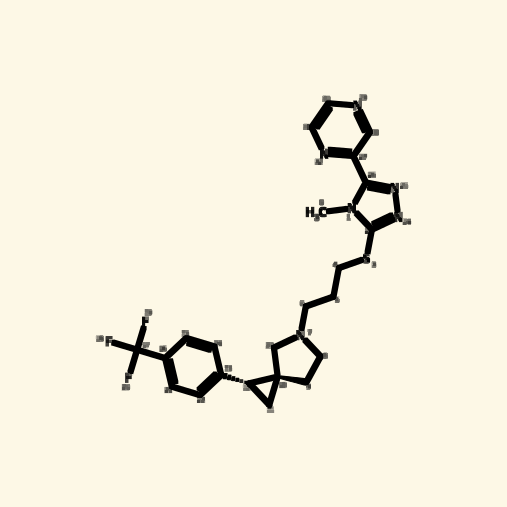 Cn1c(SCCCN2CC[C@]3(C[C@@H]3c3ccc(C(F)(F)F)cc3)C2)nnc1-c1cnccn1